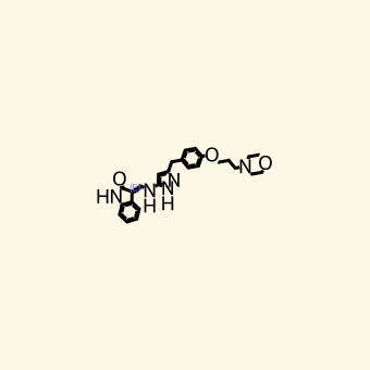 O=C1Nc2ccccc2/C1=C\Nc1cc(Cc2ccc(OCCCN3CCOCC3)cc2)n[nH]1